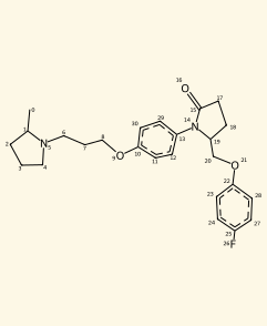 CC1CCCN1CCCOc1ccc(N2C(=O)CCC2COc2ccc(F)cc2)cc1